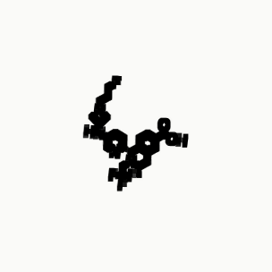 C[C@@H]1Cc2cc(C(=O)O)ccc2[C@@H](c2ccc(NC3CN(CCCF)C3)cn2)N1CC(F)(F)F